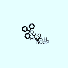 CCCCCCCCN(NC(=O)COC(c1ccccc1)(c1ccccc1)c1ccccc1)C(N)=O